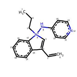 C=CC1=C[N+](CCC)(Nc2ccncc2)c2ccccc21